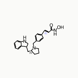 O=C(/C=C/c1ccc(CN2CCC[C@H]2CC2CNc3ccccc32)cc1)NO